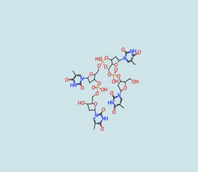 Cc1cn(C2CC(O)C(COP(=O)(O)OC3CC(n4cc(C)c(=O)[nH]c4=O)OC3COP(=O)(O)OC3CC(n4cc(C)c(=O)[nH]c4=O)OC3COP(=O)(O)OC3CC(n4cc(C)c(=O)[nH]c4=O)OC3CO)O2)c(=O)[nH]c1=O